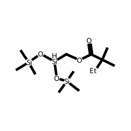 CCC(C)(C)C(=O)OC[SiH](O[Si](C)(C)C)O[Si](C)(C)C